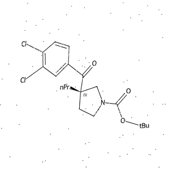 CCC[C@]1(C(=O)c2ccc(Cl)c(Cl)c2)CCN(C(=O)OC(C)(C)C)C1